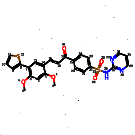 COc1cc(OC)c(-c2cccs2)cc1C=CC(=O)c1ccc(S(=O)(=O)Nc2ncccn2)cc1